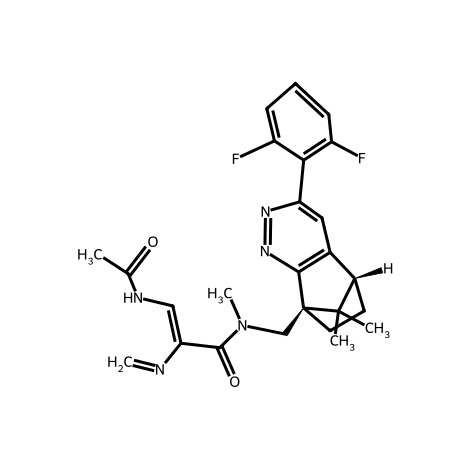 C=N/C(=C\NC(C)=O)C(=O)N(C)C[C@@]12CC[C@@H](c3cc(-c4c(F)cccc4F)nnc31)C2(C)C